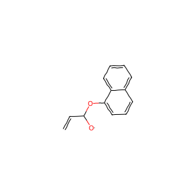 C=CC([O])Oc1cccc2ccccc12